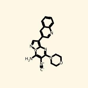 [C-]#[N+]c1c(N2CCOCC2)nc2c(-c3cnc4ccccc4c3)cnn2c1N